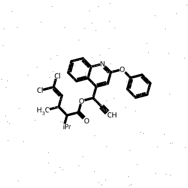 C#CC(OC(=O)C(C(C)C)C(C)C=C(Cl)Cl)c1cc(Oc2ccccc2)nc2ccccc12